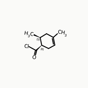 CC1=CC[C@@H](C(=O)Cl)[C@@H](C)C1